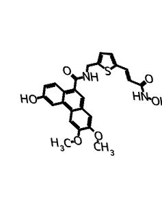 COc1cc2cc(C(=O)NCc3ccc(C=CC(=O)NO)s3)c3ccc(O)cc3c2cc1OC